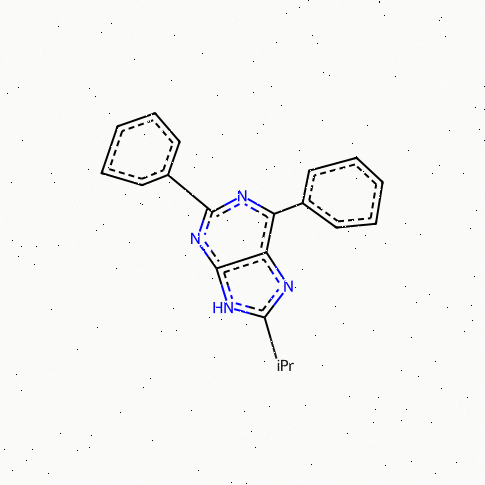 CC(C)c1nc2c(-c3ccccc3)nc(-c3ccccc3)nc2[nH]1